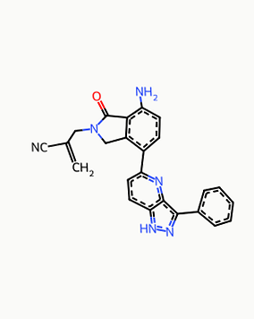 C=C(C#N)CN1Cc2c(-c3ccc4[nH]nc(-c5ccccc5)c4n3)ccc(N)c2C1=O